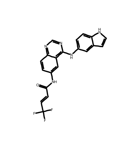 O=C(/C=C/C(F)(F)F)Nc1ccc2ncnc(Nc3ccc4[nH]ccc4c3)c2c1